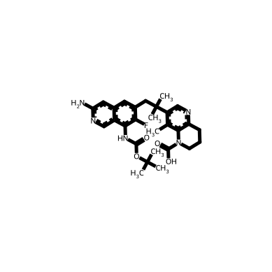 Cc1c(C(C)(C)Cc2cc3cc(N)ncc3c(NC(=O)OC(C)(C)C)c2F)cnc2c1N(C(=O)O)CCC2